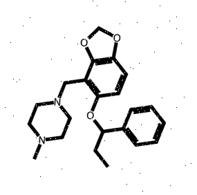 CCC(Oc1ccc2c(c1CN1CCN(C)CC1)OCO2)c1ccccc1